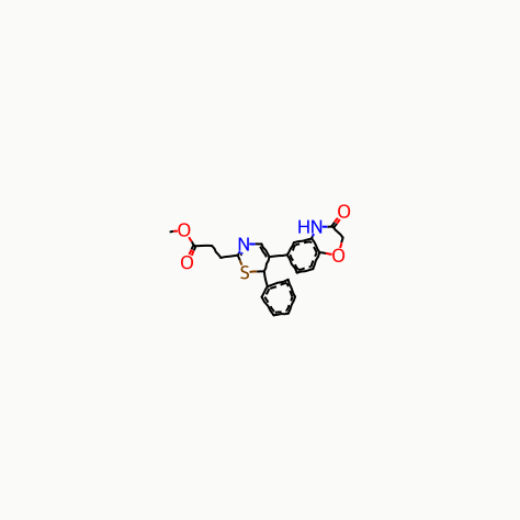 COC(=O)CCC1=NC=C(c2ccc3c(c2)NC(=O)CO3)C(c2ccccc2)S1